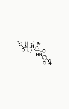 CC(C)N1c2c(Br)cc(C(=O)Nc3ccc(OC(F)(F)Cl)cc3)cc2C2CCC(NC(=O)C3CN(C)C3)C21